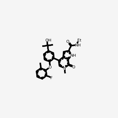 CCNC(=O)c1cc2c(-c3cc(C(C)(C)O)ccc3Oc3c(C)cccc3F)cn(C)c(=O)c2[nH]1